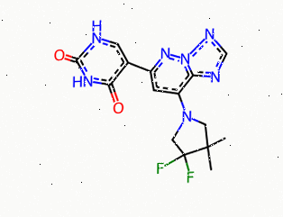 CC1(C)CN(c2cc(-c3c[nH]c(=O)[nH]c3=O)nn3ncnc23)CC1(F)F